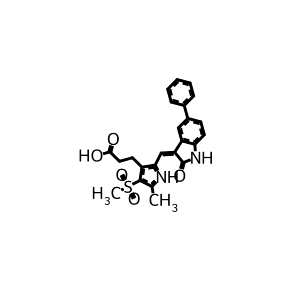 Cc1[nH]c(/C=C2\C(=O)Nc3ccc(-c4ccccc4)cc32)c(CCC(=O)O)c1S(C)(=O)=O